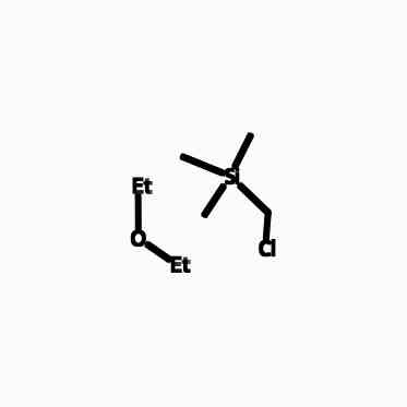 CCOCC.C[Si](C)(C)CCl